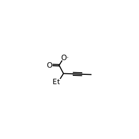 CC#CC(CC)C([O])=O